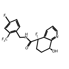 O=C(NCc1ccc(F)cc1C(F)(F)F)[C@]1(F)CC[C@H](O)c2ncccc21